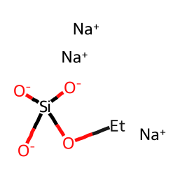 CCO[Si]([O-])([O-])[O-].[Na+].[Na+].[Na+]